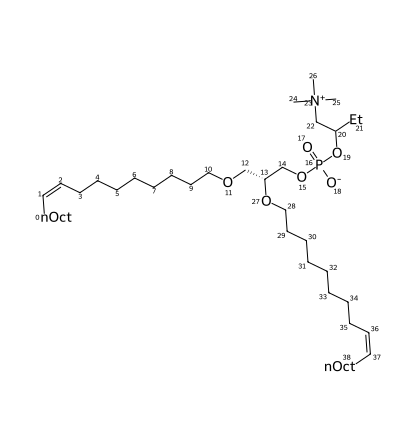 CCCCCCCC/C=C\CCCCCCCCOC[C@H](COP(=O)([O-])OC(CC)C[N+](C)(C)C)OCCCCCCCC/C=C\CCCCCCCC